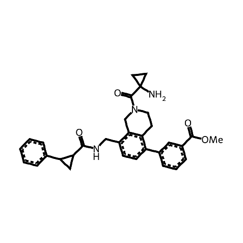 COC(=O)c1cccc(-c2ccc(CNC(=O)C3CC3c3ccccc3)c3c2CCN(C(=O)C2(N)CC2)C3)c1